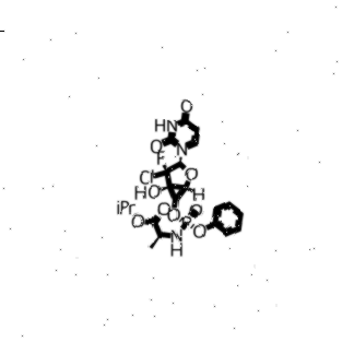 CC(C)OC(=O)[C@H](C)NP(=O)(Oc1ccccc1)OC1[C@H]2O[C@@H](n3ccc(=O)[nH]c3=O)[C@@](F)(Cl)[C@@]12O